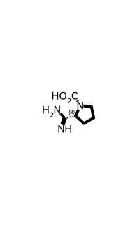 N=C(N)[C@H]1CCCN1C(=O)O